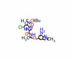 C[C@H](COCc1cc(N)c2nn(C)cc2c1)NC(=O)c1cnc2c(N(C)C(=O)OC(C)(C)C)cc(Cl)nn12